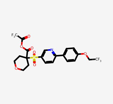 O=C(OC(=O)C1(S(=O)(=O)c2ccc(-c3ccc(OCC(F)(F)F)cc3)nc2)CCOCC1)C(F)(F)F